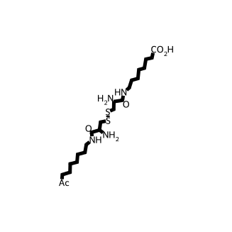 CC(=O)CCCCCCCNC(=O)C(N)CSSCC(N)C(=O)NCCCCCCCC(=O)O